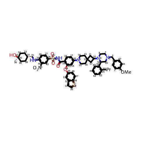 COc1ccc(CN2CCN(C3CC4(CCN(c5ccc(C(=O)NS(=O)(=O)c6ccc(NC[C@H]7CC[C@](C)(O)CC7)c([N+](=O)[O-])c6)c(Oc6ccc7sccc7c6)c5)CC4)C3)C(c3ccccc3C(C)C)C2)cc1